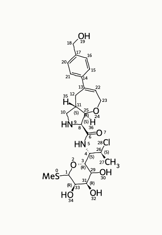 CSC1O[C@H]([C@H](NC(=O)[C@H]2NC[C@@H]3CC(c4ccc(CO)cc4)=CCO[C@H]32)[C@H](C)Cl)C(O)[C@@H](O)[C@H]1O